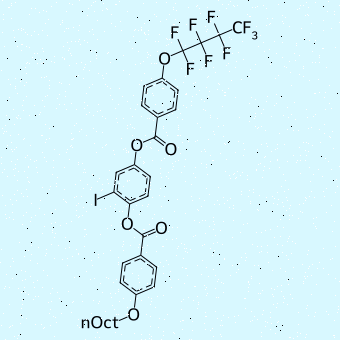 CCCCCCCCOc1ccc(C(=O)Oc2ccc(OC(=O)c3ccc(OC(F)(F)C(F)(F)C(F)(F)C(F)(F)F)cc3)cc2I)cc1